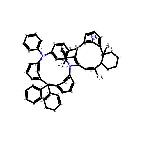 C/C=C(/C)C1=C2/C=C(/C)C3CCCCC3(C)c3cccc(c3N)B1c1ccc3cc1N2c1cccc(c1)C(C1=CCCC=C1)(c1ccccc1)c1cccc(c1)N3c1ccccc1